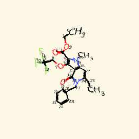 CCOC(=O)c1c(OCC(F)(F)F)c2c(=O)n(Cc3ccccc3)c(CC)cc2n1C